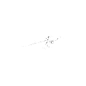 CC#CCOc1ccc(C[C@H](NC(=O)[C@@H](/C=C/CCCCCCC(=O)CCCCCCC)[C@@](O)(CCO)C(=O)O)C(=O)N(C)C)cc1